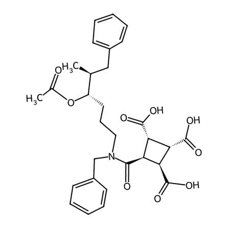 CC(=O)O[C@@H](CCCN(Cc1ccccc1)C(=O)[C@H]1[C@H](C(=O)O)[C@H](C(=O)O)[C@H]1C(=O)O)[C@@H](C)Cc1ccccc1